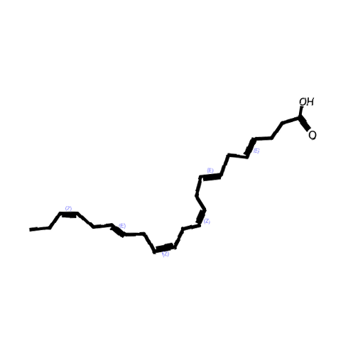 CC/C=C\C/C=C/C/C=C\C/C=C\C/C=C/C/C=C/CCC(=O)O